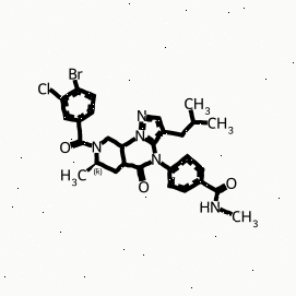 CNC(=O)c1ccc(N2C(=O)C3C[C@@H](C)N(C(=O)c4ccc(Br)c(Cl)c4)CC3n3ncc(CC(C)C)c32)cc1